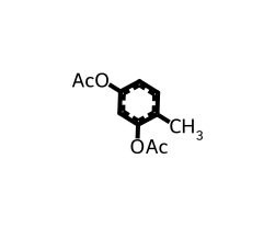 CC(=O)Oc1ccc(C)c(OC(C)=O)c1